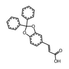 O=C(O)C=Cc1ccc2c(c1)OC(c1ccccc1)(c1ccccc1)O2